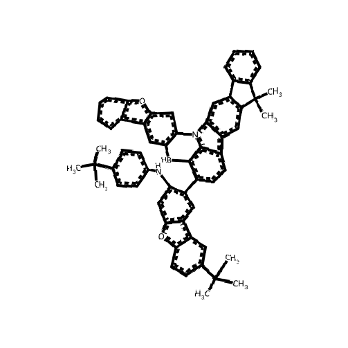 CC(C)(C)c1ccc(Nc2cc3oc4ccc(C(C)(C)C)cc4c3cc2-c2ccc3c4cc5c(cc4n4c3c2Bc2cc3c(cc2-4)oc2ccccc23)-c2ccccc2C5(C)C)cc1